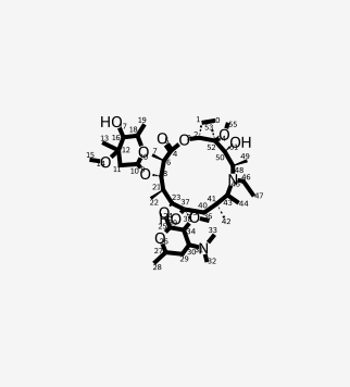 CC[C@H]1OC(=O)[C@H](C)[C@@H](OC2CC(C)(OC)C(O)C(C)O2)[C@H](C)[C@@H](OC2OC(C)CC(N(C)C)C2OC)[C@](C)(O)C[C@@H](C)C(C)N(CC)[C@H](C)[C@@H](O)[C@]1(C)OC